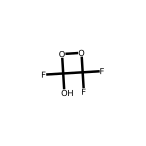 OC1(F)OOC1(F)F